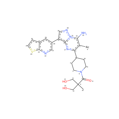 CC(=O)c1c(C2CCN(C(=O)C(C)(CO)CO)CC2)nc2c(-c3cnc4sccc4c3)cnn2c1N